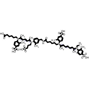 CC\[N+](=C(C)/C=C/C=C/C=C(\C)N(CCCCCC(=O)NCc1ccc(/[N+](CCCS(=O)(=O)O)=C(C)/C=C/C=C(\C)N(CCCCCC(=O)O)c2ccc(S(=O)(=O)O)cc2C)c(C)c1)c1ccc(S(=O)(=O)O)cc1C)c1ccc(S(=O)(=O)O)cc1C